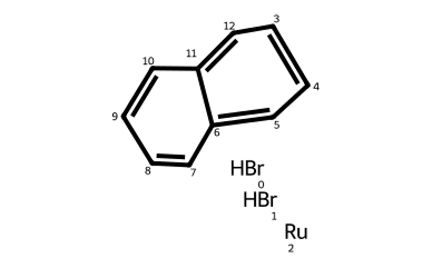 Br.Br.[Ru].c1ccc2ccccc2c1